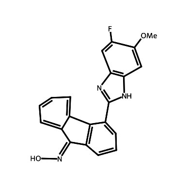 COc1cc2[nH]c(-c3cccc4c3-c3ccccc3/C4=N\O)nc2cc1F